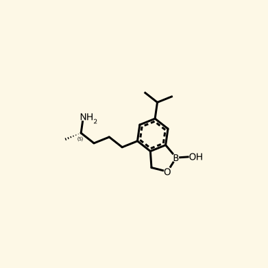 CC(C)c1cc(CCC[C@H](C)N)c2c(c1)B(O)OC2